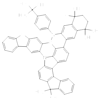 CC(C)(C)c1ccc(N2B3c4cc5oc6ccccc6c5cc4-n4c5ccc6c(c5c5ccc(c3c54)-c3cc4c(cc32)C(C)(C)CCC4(C)C)-c2ccccc2C6(C)C)cc1